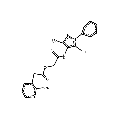 Cc1ncccc1CC(=O)OCC(=O)Nc1c(C)nn(-c2ccccc2)c1C